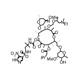 CCN(C)C[C@H](C)OCO[C@@H]1C(C)C(=O)OC([C@H](C)COC2C[C@H](OC)[C@H](O)C(C)O2)[C@H](C)[C@@H](OC(=O)CC(C)C)[C@@H](C)C(=O)[C@@](C)(OC(=O)NC(C)(C)CNS(=O)(=O)c2cn[nH]c2[N+](=O)[O-])C[C@H](C)[C@H](O[C@H]2CC(=NOC)C[C@@H](C)O2)[C@H]1C